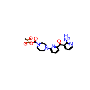 CS(=O)(=O)OC(=O)N1CCCN(c2cccc(C(=O)c3cccnc3N)n2)CC1